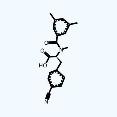 Cc1cc(C)cc(C(=O)N(C)[C@@H](Cc2ccc(C#N)cc2)C(=O)O)c1